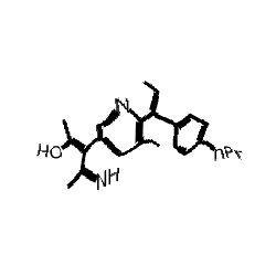 C/C=C(/c1ccc(CCC)cc1)c1ncc(/C(C(C)=N)=C(\C)O)cc1C